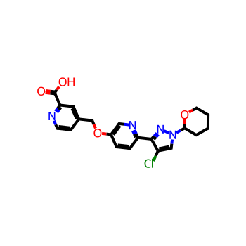 O=C(O)c1cc(COc2ccc(-c3nn(C4CCCCO4)cc3Cl)nc2)ccn1